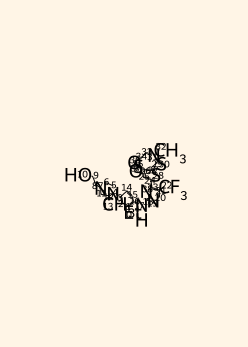 CCc1cc(N2CCN(CCO)CC2C)ccc1Nc1ncc(C(F)(F)F)c(-c2cc3c(s2)C(=S)N(C)CCS3(=O)=O)n1